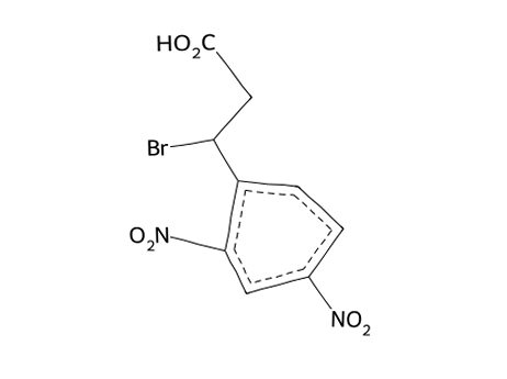 O=C(O)CC(Br)c1ccc([N+](=O)[O-])cc1[N+](=O)[O-]